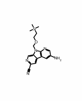 C[Si](C)(C)CCOCn1c2cnc(C#N)cc2c2cc(N)cnc21